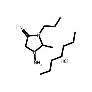 CCCCCCC.CCCN1C(=N)CN(N)C1C.Cl